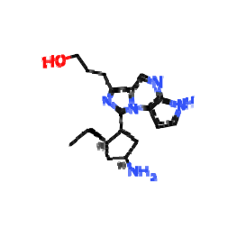 CC[C@@H]1C[C@H](N)CC1c1nc(CCCO)c2cnc3[nH]ccc3n12